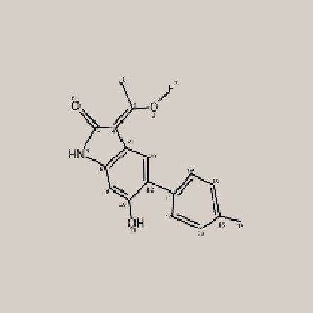 C/C(OF)=C1\C(=O)Nc2cc(O)c(-c3ccc(C)cc3)cc21